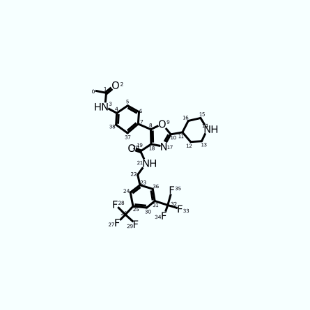 CC(=O)Nc1ccc(-c2oc(C3CCNCC3)nc2C(=O)NCc2cc(C(F)(F)F)cc(C(F)(F)F)c2)cc1